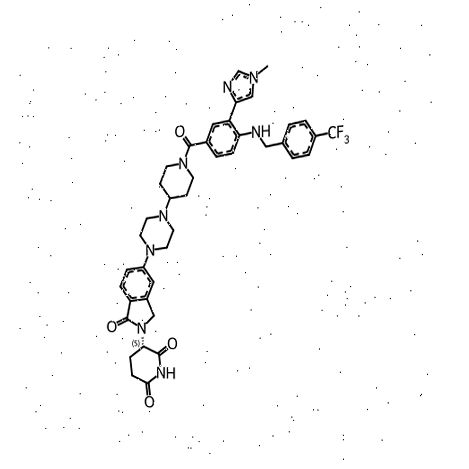 Cn1cnc(-c2cc(C(=O)N3CCC(N4CCN(c5ccc6c(c5)CN([C@H]5CCC(=O)NC5=O)C6=O)CC4)CC3)ccc2NCc2ccc(C(F)(F)F)cc2)c1